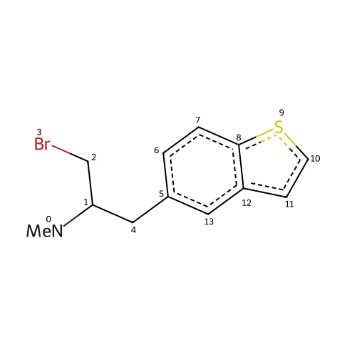 CNC(CBr)Cc1ccc2sccc2c1